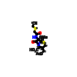 CO[C@@]1(NC(=O)CSCC#N)C(=O)N2C(C(=O)O)=C(COC(C)=O)CS[C@@H]21